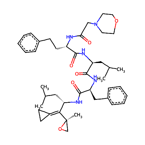 CC(C)C[C@H](NC(=O)[C@H](CCc1ccccc1)NC(=O)CN1CCOCC1)C(=O)N[C@@H](Cc1ccccc1)C(=O)N[C@@H](CC(C)C)C(=C1CC1)[C@@]1(C)CO1